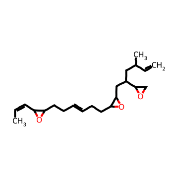 C=CC(C)CC(CC1OC1CC/C=C/CCC1OC1/C=C\C)C1CO1